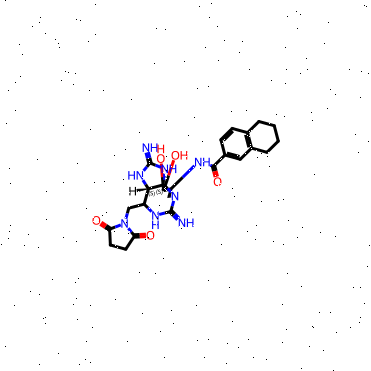 N=C1N[C@H]2C(CN3C(=O)CCC3=O)NC(=N)N3CC(NC(=O)c4ccc5c(c4)CCCC5)C(O)(O)[C@]23N1